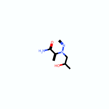 C=NN(CC(C)O)C(=C)C(N)=O